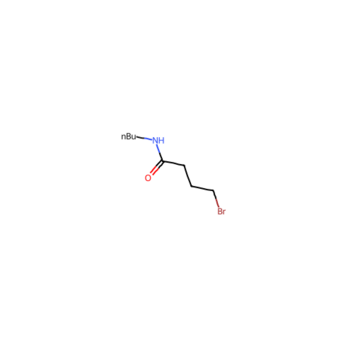 [CH2]CCCNC(=O)CCCBr